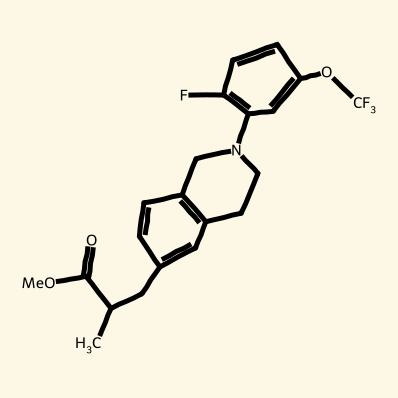 COC(=O)C(C)Cc1ccc2c(c1)CCN(c1cc(OC(F)(F)F)ccc1F)C2